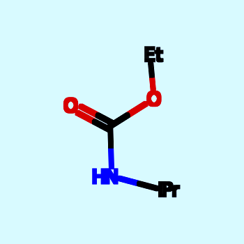 [CH2]C(C)NC(=O)OCC